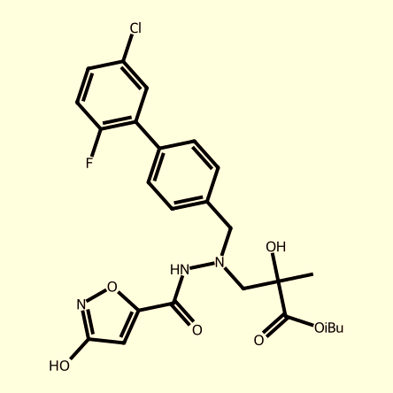 CC(C)COC(=O)C(C)(O)CN(Cc1ccc(-c2cc(Cl)ccc2F)cc1)NC(=O)c1cc(O)no1